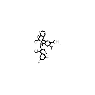 Cc1cc2c3c4cccnc4oc(=O)c3n(Cc3cnc4c(F)cc(F)cc4c3Cl)c2cc1F